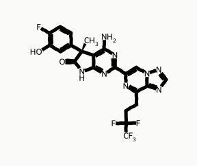 C[C@]1(c2ccc(F)c(O)c2)C(=O)Nc2nc(-c3cn4ncnc4c(CCC(F)(F)C(F)(F)F)n3)nc(N)c21